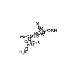 COc1cc2c(cc1OCCCOc1cc3c(cc1OC)C(=O)N1C=C(c4ccc(N5CCN(C)CC5)cc4)CC1C(=O)N3COCC[Si](C)(C)C)N(COCC[Si](C)(C)C)C(=O)C1CC(c3ccc(N)cc3)=CN1C2=O